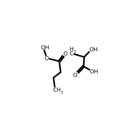 CC(O)C(=O)O.CCCC(=O)OO